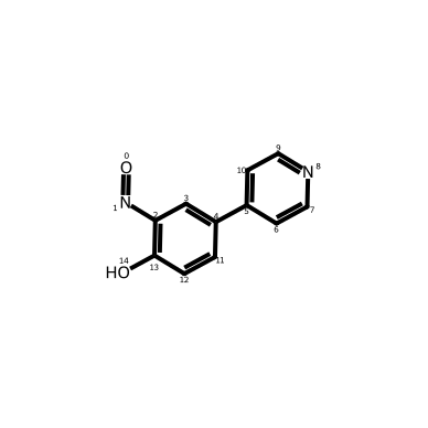 O=Nc1cc(-c2ccncc2)ccc1O